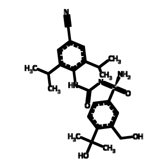 CC(C)c1cc(C#N)cc(C(C)C)c1NC(=O)N=[S@](N)(=O)c1ccc(C(C)(C)O)c(CO)c1